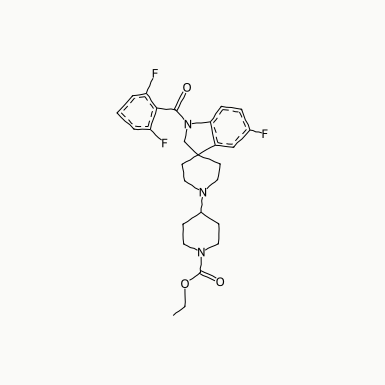 CCOC(=O)N1CCC(N2CCC3(CC2)CN(C(=O)c2c(F)cccc2F)c2ccc(F)cc23)CC1